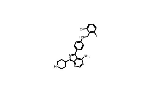 Nc1ncnc2c1c(-c1ccc(NCc3c(F)cccc3Cl)cc1)nn2C1CCNCC1